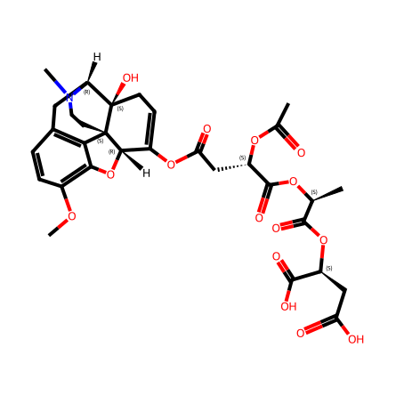 COc1ccc2c3c1O[C@H]1C(OC(=O)C[C@H](OC(C)=O)C(=O)O[C@@H](C)C(=O)O[C@@H](CC(=O)O)C(=O)O)=CC[C@@]4(O)[C@@H](C2)N(C)CC[C@]314